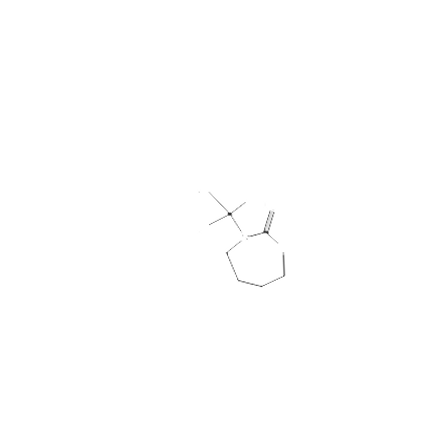 CC(C)(C)N1CCCCOC1=O